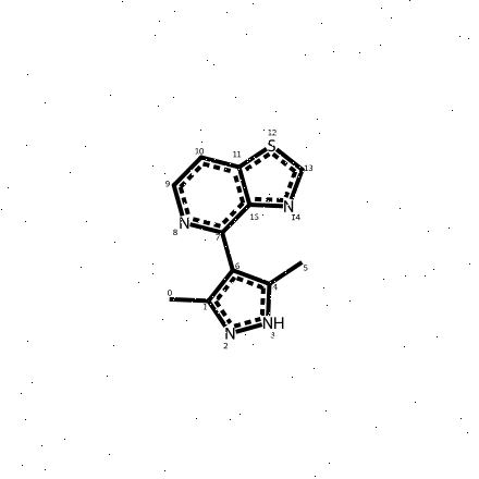 Cc1n[nH]c(C)c1-c1nccc2scnc12